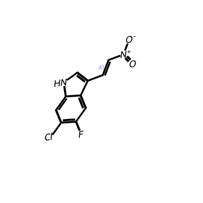 O=[N+]([O-])/C=C/c1c[nH]c2cc(Cl)c(F)cc12